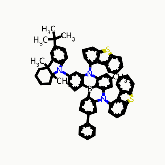 Cc1cc2c3c(c1)N(c1cccc4sc5ccccc5c14)c1cc(N4c5ccc(C(C)(C)C)cc5C5(C)CCCCC45C)ccc1B3c1ccc(-c3ccccc3)cc1N2c1cccc2sc3ccccc3c12